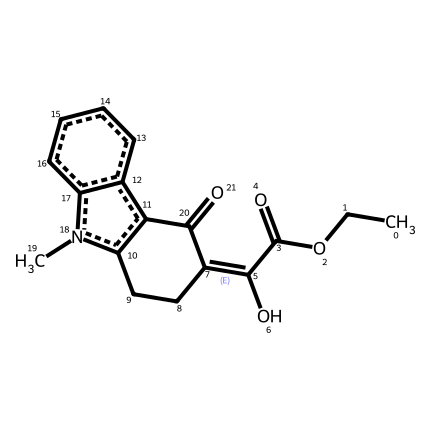 CCOC(=O)/C(O)=C1/CCc2c(c3ccccc3n2C)C1=O